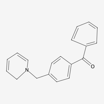 O=C(c1ccccc1)c1ccc(CN2C=CC=CC2)cc1